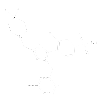 Cc1ccc(C)c(Cn2cc(CN3CCC(F)(F)CC3)nc2C2=C(F)CC(S(N)(=O)=O)C=C2)c1